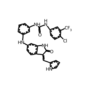 O=C(Nc1cccc(Nc2ccc3c(c2)NC(=O)/C3=C\c2ccc[nH]2)c1)Nc1ccc(Cl)c(C(F)(F)F)c1